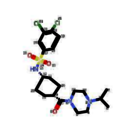 CC(C)N1CCN(C(=O)[C@H]2CC[C@@H](NS(=O)(=O)c3ccc(Cl)c(Cl)c3)CC2)CC1